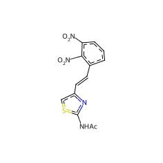 CC(=O)Nc1nc(C=Cc2cccc([N+](=O)[O-])c2[N+](=O)[O-])cs1